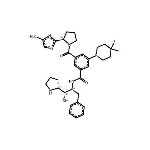 Cc1csc([C@H]2CCCN2C(=O)c2cc(C(=O)N[C@@H](Cc3ccccc3)[C@H](O)[C@H]3CCCN3)cc(N3CCC(F)(F)CC3)c2)n1